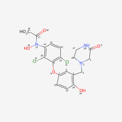 O=C1CN(Cc2cc(Oc3c(Cl)ccc(N(O)C(=O)C(=O)O)c3Cl)ccc2O)CCN1